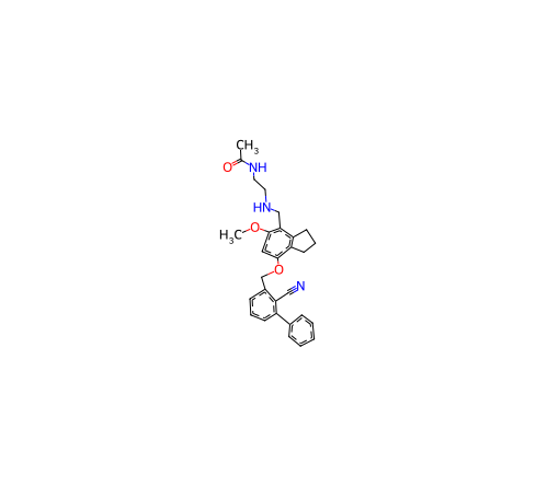 COc1cc(OCc2cccc(-c3ccccc3)c2C#N)c2c(c1CNCCNC(C)=O)CCC2